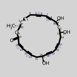 C[C@@H]1CCC/C=C/C=C/[C@H](O)C[C@@H](O)C/C=C\C=C\[C@@H](O)C/C=C/C=C\C(=O)O1